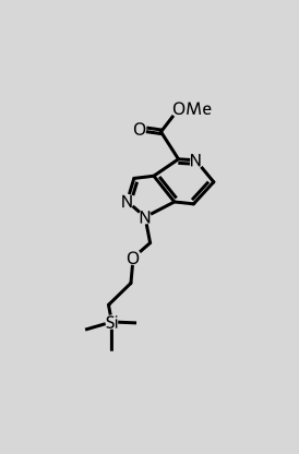 COC(=O)c1nccc2c1cnn2COCC[Si](C)(C)C